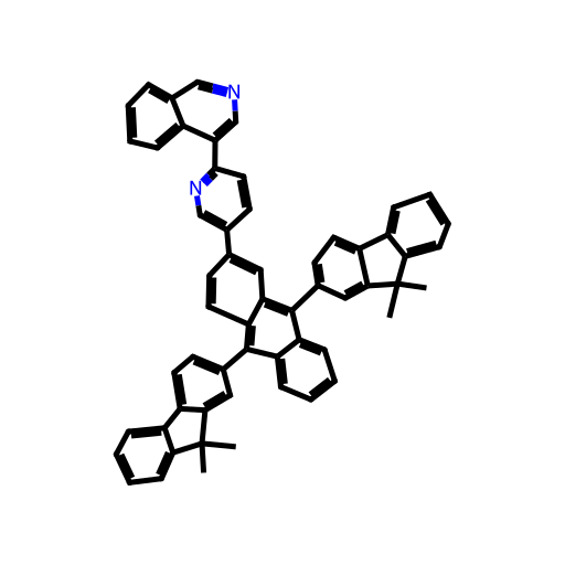 CC1(C)c2ccccc2-c2ccc(-c3c4ccccc4c(-c4ccc5c(c4)C(C)(C)c4ccccc4-5)c4cc(-c5ccc(-c6cncc7ccccc67)nc5)ccc34)cc21